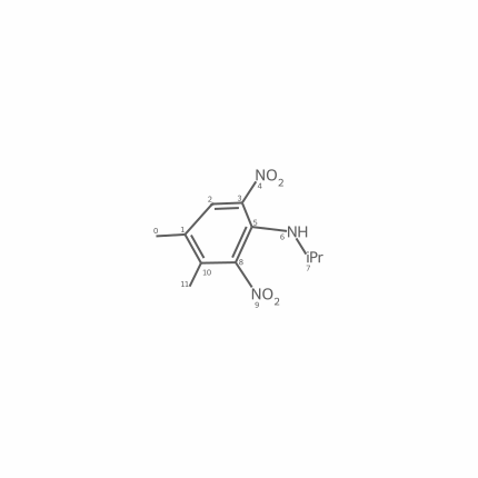 Cc1cc([N+](=O)[O-])c(NC(C)C)c([N+](=O)[O-])c1C